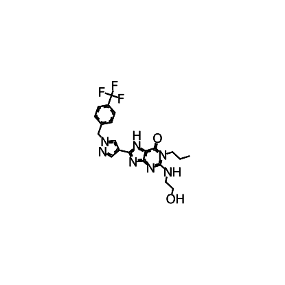 CCCn1c(NCCO)nc2nc(-c3cnn(Cc4ccc(C(F)(F)F)cc4)c3)[nH]c2c1=O